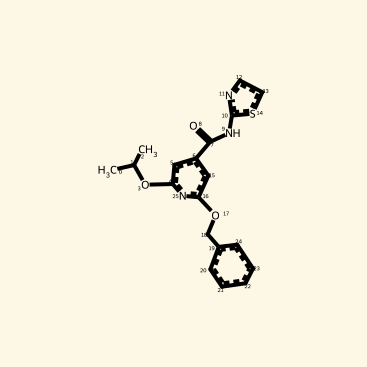 CC(C)Oc1cc(C(=O)Nc2nccs2)cc(OCc2ccccc2)n1